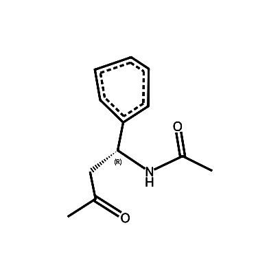 CC(=O)C[C@@H](NC(C)=O)c1ccccc1